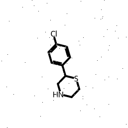 Clc1ccc(C2CNCCS2)cc1